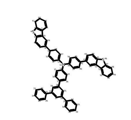 C1=Cc2c(sc3ccc(C4C=CC(N(c5ccc(-c6cc(-c7ccccc7)cc(-c7ccccc7)c6)cc5)c5ccc(-c6ccc7sc8ccccc8c7c6)cc5)=CC4)cc23)CC1